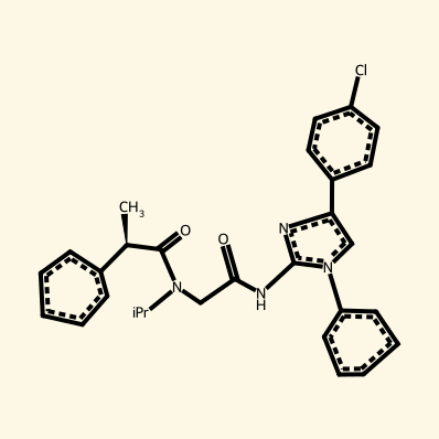 CC(C)N(CC(=O)Nc1nc(-c2ccc(Cl)cc2)cn1-c1ccccc1)C(=O)[C@H](C)c1ccccc1